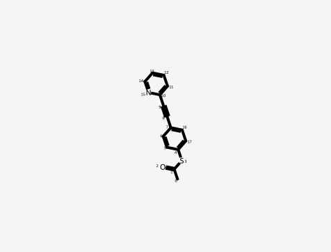 CC(=O)Sc1ccc(C#Cc2ccccn2)cc1